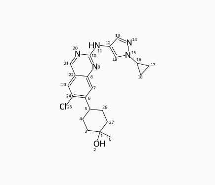 CC1(O)CCC(c2cc3nc(Nc4cnn(C5CC5)c4)ncc3cc2Cl)CC1